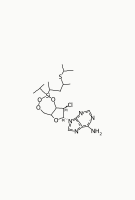 CC(C)SC(C)CC(C)[Si]1(C(C)C)OOCC2O[C@@H](n3cnc4c(N)ncnc43)[C@H](Cl)C2O1